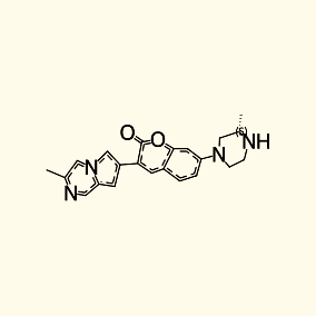 Cc1cn2cc(-c3cc4ccc(N5CCN[C@@H](C)C5)cc4oc3=O)cc2cn1